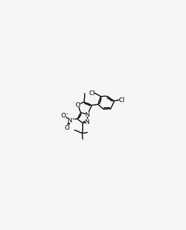 Cc1oc2c([N+](=O)[O-])c(C(C)(C)C)nn2c1-c1ccc(Cl)cc1Cl